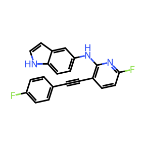 Fc1ccc(C#Cc2ccc(F)nc2Nc2ccc3[nH]ccc3c2)cc1